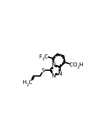 C=CCSc1nnc2c(C(=O)O)ccc(C(F)(F)F)n12